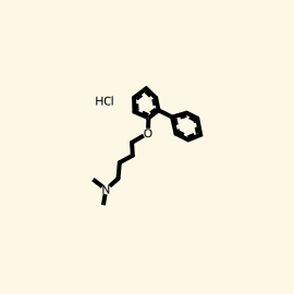 CN(C)CCCCOc1ccccc1-c1ccccc1.Cl